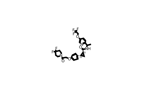 CC(NC(=O)[C@H]1C[C@@H]1c1ccc(OCC(=O)N2CCC(F)(F)CC2)cc1)c1ccc(OCC(F)(F)F)cn1